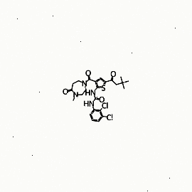 CN1CCN(C(=O)c2cc(C(=O)CC(C)(C)C)sc2NC(=O)Nc2cccc(Cl)c2Cl)CCC1=O